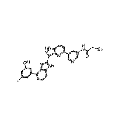 CC(C)(C)CC(=O)Nc1cncc(-c2ccc3[nH]nc(-c4nc5c(-c6cc(O)cc(F)c6)cccc5[nH]4)c3n2)c1